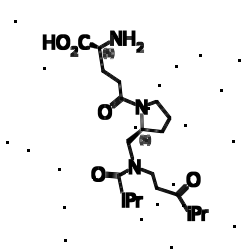 CC(C)C(=O)CCN(C[C@@H]1CCCN1C(=O)CC[C@H](N)C(=O)O)C(=O)C(C)C